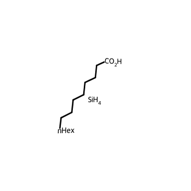 CCCCCCCCCCCCCC(=O)O.[SiH4]